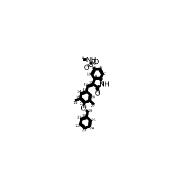 CNS(=O)(=O)c1ccc2c(c1)C(=Cc1cc(C)c(OCc3ccccc3)c(C)c1)C(=O)N2